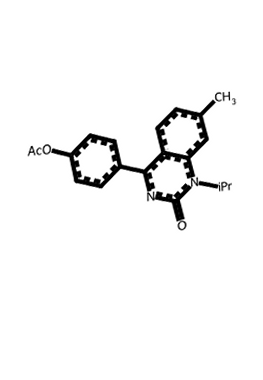 CC(=O)Oc1ccc(-c2nc(=O)n(C(C)C)c3cc(C)ccc23)cc1